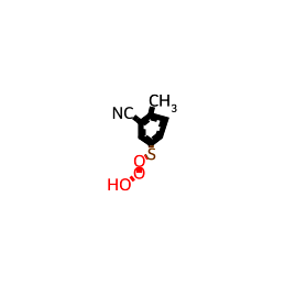 Cc1ccc(SOOO)cc1C#N